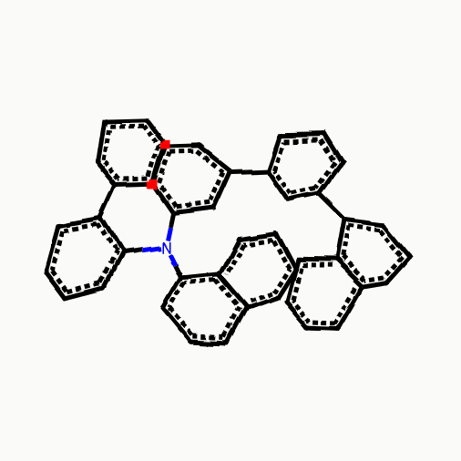 c1ccc(-c2ccccc2N(c2cccc(-c3cccc(-c4cccc5ccccc45)c3)c2)c2cccc3ccccc23)cc1